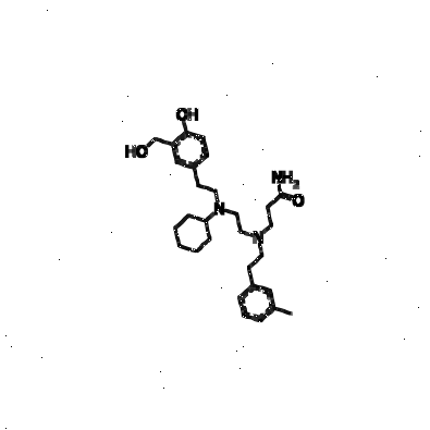 Cc1cccc(CCN(CCC(N)=O)CCN(CCc2ccc(O)c(CO)c2)C2CCCCC2)c1